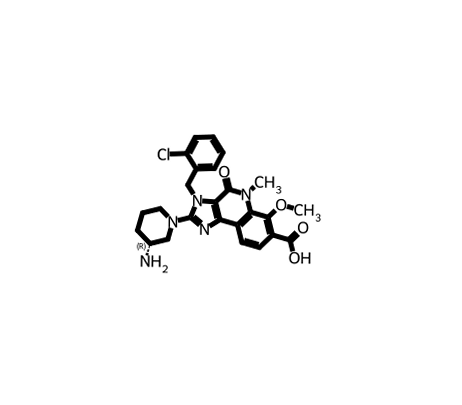 COc1c(C(=O)O)ccc2c3nc(N4CCC[C@@H](N)C4)n(Cc4ccccc4Cl)c3c(=O)n(C)c12